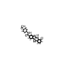 CO[C@H]1CC[C@H](NC(=O)c2ccc3[nH]c(Nc4c(Cl)cccc4Cl)nc3c2)CC1